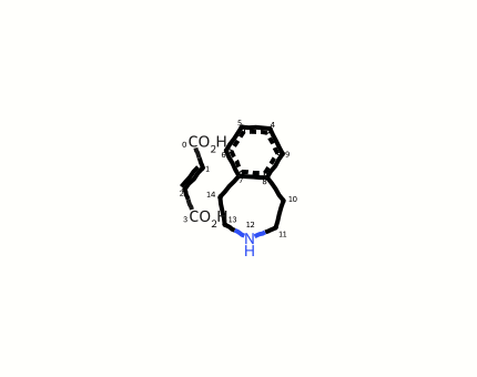 O=C(O)C=CC(=O)O.c1ccc2c(c1)CCNCC2